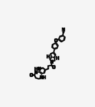 N#Cc1cccc(Oc2ccc(C3=C[C@H]4CN(C(=O)/C=C/c5cnc6c(c5)NCCC(=O)N6)C[C@H]4C3)cc2)c1